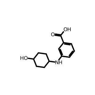 O=C(O)c1cccc(NC2CCC(O)CC2)c1